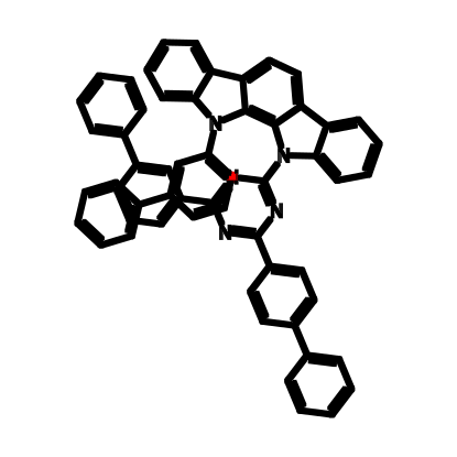 c1ccc(-c2ccc(-c3nc(-c4cccc(-c5ccccc5)c4)nc(-n4c5ccccc5c5ccc6c7ccccc7n(-c7cccc(-c8ccccc8)c7)c6c54)n3)cc2)cc1